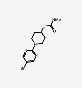 CNC(=O)OC1CCN(c2ncc(Br)cn2)CC1